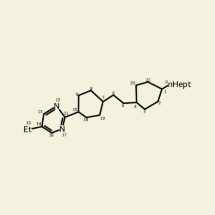 CCCCCCCC1CCC(CCC2CCC(c3ncc(CC)cn3)CC2)CC1